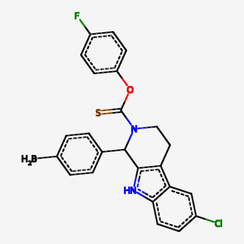 Bc1ccc(C2c3[nH]c4ccc(Cl)cc4c3CCN2C(=S)Oc2ccc(F)cc2)cc1